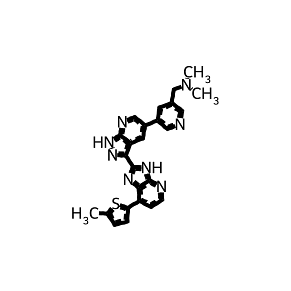 Cc1ccc(-c2ccnc3[nH]c(-c4n[nH]c5ncc(-c6cncc(CN(C)C)c6)cc45)nc23)s1